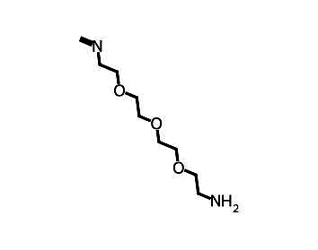 C=NCCOCCOCCOCCN